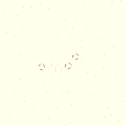 CCOc1ccc(Cc2cc(C3CCC4CCC(c5ccccc5)OCC4O3)ccc2Cl)cc1